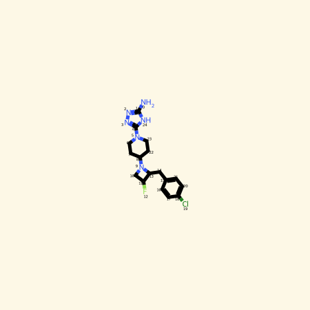 Nc1nnc(N2CCC(N3CC(F)C3Cc3ccc(Cl)cc3)CC2)[nH]1